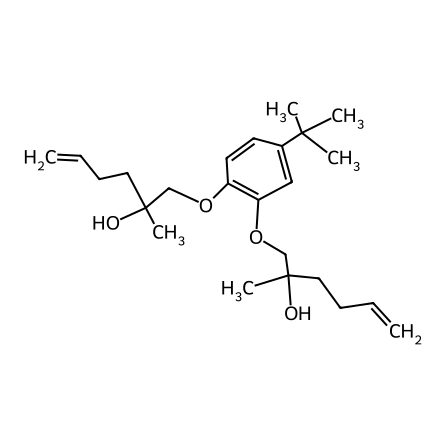 C=CCCC(C)(O)COc1ccc(C(C)(C)C)cc1OCC(C)(O)CCC=C